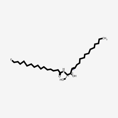 CCCCCCCCCCCC/C=C/[C@@H](O)[C@H](CO)NC(=O)CCCCCCCCCCCCCCF